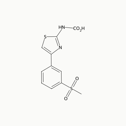 CS(=O)(=O)c1cccc(-c2csc(NC(=O)O)n2)c1